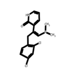 CN(C)C=C(Cc1ccc(Cl)cc1Cl)c1ccc[nH]c1=O